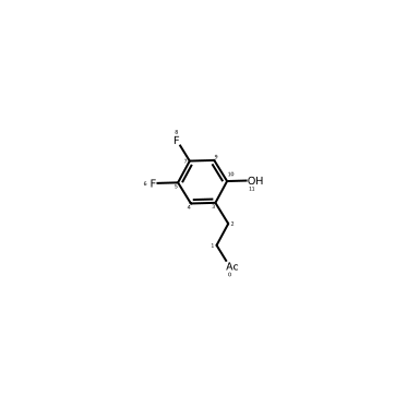 CC(=O)CCc1cc(F)c(F)cc1O